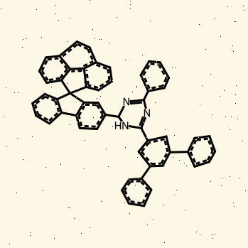 c1ccc(C2=NC(c3ccc4c(c3)C3(c5ccccc5-4)c4cccc5ccc6cccc3c6c45)NC(c3cc(-c4ccccc4)cc(-c4ccccc4)c3)=N2)cc1